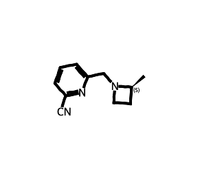 C[C@H]1CCN1Cc1cccc(C#N)n1